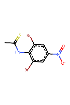 CC(=S)Nc1c(Br)cc([N+](=O)[O-])cc1Br